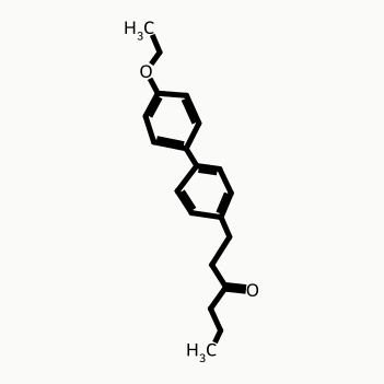 CCCC(=O)CCc1ccc(-c2ccc(OCC)cc2)cc1